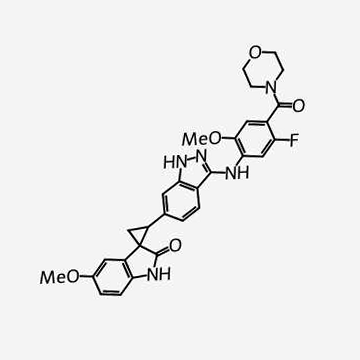 COc1ccc2c(c1)C1(CC1c1ccc3c(Nc4cc(F)c(C(=O)N5CCOCC5)cc4OC)n[nH]c3c1)C(=O)N2